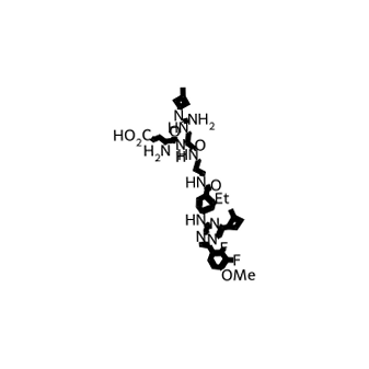 CCc1cc(Nc2nc(C3CC=C3C)cn3c(-c4ccc(OC)c(F)c4F)cnc23)ccc1C(=O)NCCCNC(=O)C(CN/C(N)=N/C1C=C(C)C1)NC(=O)[C@@H](N)CCC(=O)O